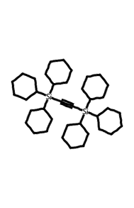 C(#C[Si](C1CCCCC1)(C1CCCCC1)C1CCCCC1)[Si](C1CCCCC1)(C1CCCCC1)C1CCCCC1